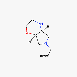 CCCCCCN1C[C@@H]2NCCO[C@@H]2C1